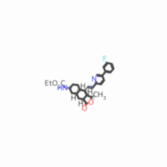 CCOC(=O)N[C@H]1CC[C@H]2[C@H](C1)C[C@@H]1C(=O)O[C@H](C)[C@@H]1[C@@H]2/C=C/c1ccc(-c2cccc(F)c2)cn1